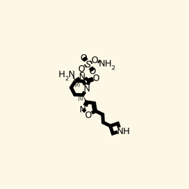 NOS(=O)(=O)ON1C(=O)N2C[C@@]1(N)CC[C@H]2c1cc(CCC2CNC2)on1